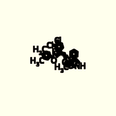 CCN(C[C@@H](CCN1c2ccccc2C2(CCNCC2)C1S(C)(=O)=O)c1ccc(Cl)c(Cl)c1)C(=O)c1cc(C)cc(C)c1